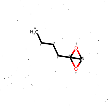 CCCCC12O[C]1O2